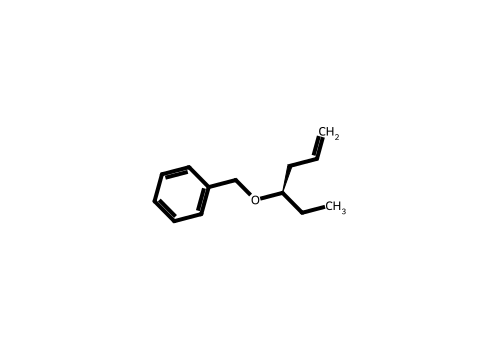 C=CC[C@@H](CC)OCc1ccccc1